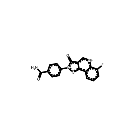 NC(=O)c1ccc(-n2nc3c4cccc(F)c4[nH]cc-3c2=O)cc1